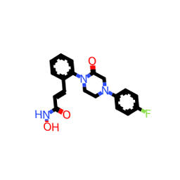 O=C(/C=C/c1ccccc1N1CCN(c2ccc(F)cc2)CC1=O)NO